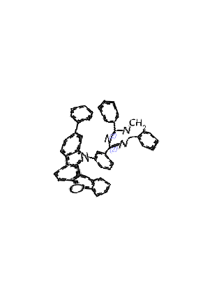 C=N/C(=N\C(=N/Cc1ccccc1)c1cccc(-n2c3cc(-c4ccccc4)ccc3c3ccc4oc5ccccc5c4c32)c1)c1ccccc1